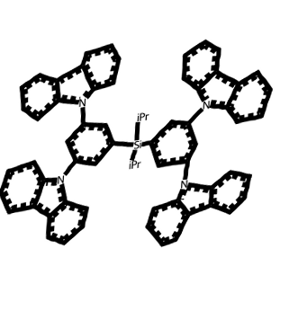 CC(C)[Si](c1cc(-n2c3ccccc3c3ccccc32)cc(-n2c3ccccc3c3ccccc32)c1)(c1cc(-n2c3ccccc3c3ccccc32)cc(-n2c3ccccc3c3ccccc32)c1)C(C)C